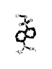 [CH2]C[N]S(=O)(=O)c1cccc2c(N(C)C)cccc12